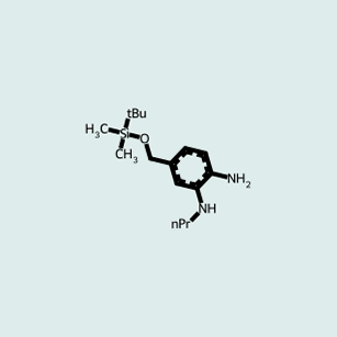 CCCNc1cc(CO[Si](C)(C)C(C)(C)C)ccc1N